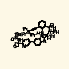 [2H]C([2H])([2H])N1C(=O)c2cccc(C#C[Si](C(C)C)(C(C)C)C(C)C)c2[C@H]2C[C@@H]1c1nc3ccc(-c4ccc(C5(N[S+]([O-])C(C)(C)C)COC5)nc4)cc3n12